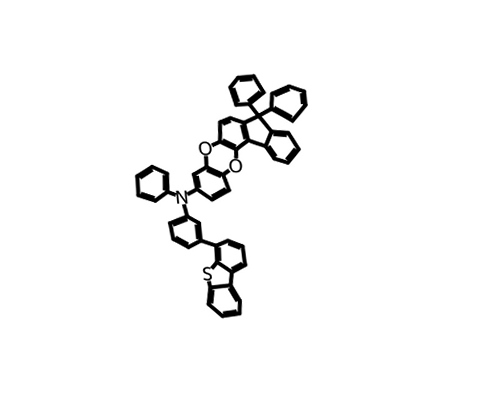 c1ccc(N(c2cccc(-c3cccc4c3sc3ccccc34)c2)c2ccc3c(c2)Oc2ccc4c(c2O3)-c2ccccc2C4(c2ccccc2)c2ccccc2)cc1